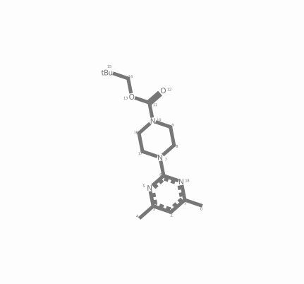 Cc1cc(C)nc(N2CCN(C(=O)OCC(C)(C)C)CC2)n1